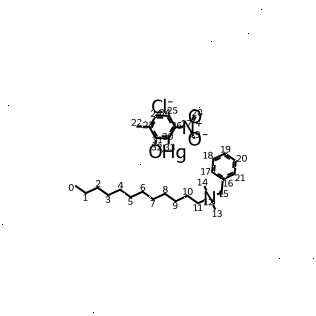 CCCCCCCCCCCC[N+](C)(C)Cc1ccccc1.Cc1ccc([N+](=O)[O-])[c]2c1[O][Hg]2.[Cl-]